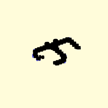 CC/C=C\C/C=C\C/C=C\CCCCCCCC(=O)OCC(COC(=O)CCCCCCC/C=C\CCCCCCCC)OC(=O)CCCCCCC/C=C\C/C=C\CCCCC